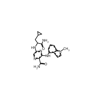 Cn1ccc2c(Nc3nc(NC(CC4CC4)C(N)=O)cnc3C(N)=O)cccc21